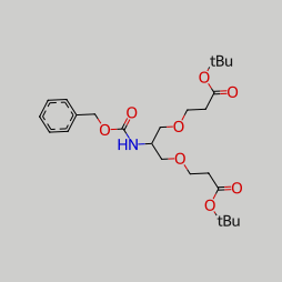 CC(C)(C)OC(=O)CCOCC(COCCC(=O)OC(C)(C)C)NC(=O)OCc1ccccc1